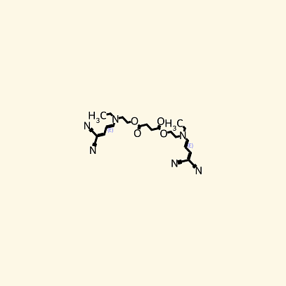 CCN(/C=C/C=C(C#N)C#N)CCOC(=O)CCC(=O)OCCN(/C=C/C=C(C#N)C#N)CC